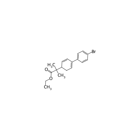 CCOC(=O)C(C)(C)C1C=CC(c2ccc(Br)cc2)=CC1